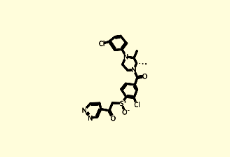 CC1[C@H](C)N(C(=O)c2ccc([S+]([O-])CC(=O)c3ccnnc3)c(Cl)c2)CCN1c1cccc(Cl)c1